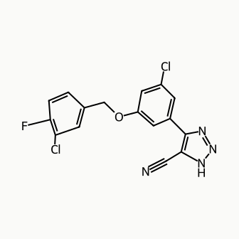 N#Cc1[nH]nnc1-c1cc(Cl)cc(OCc2ccc(F)c(Cl)c2)c1